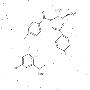 CNC(C)c1cc(Br)cc(Br)c1.Cc1ccc(C(=O)O[C@H](C(=O)O)[C@H](OC(=O)c2ccc(C)cc2)C(=O)O)cc1